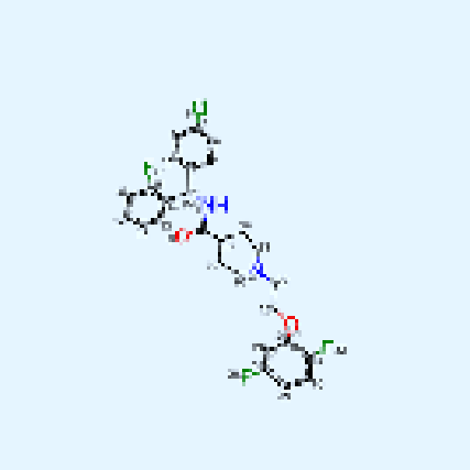 O=C(N[C@@H](c1ccc(Cl)cc1)c1ccccc1F)C1CCN(CCOc2cc(F)ccc2F)CC1